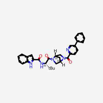 CC(C)(C)[C@H](NC(=O)c1cc2ccccc2[nH]1)C(=O)N1C[C@@H]2C[C@H]1CN2C(=O)c1ccc(-c2ccccc2)cn1